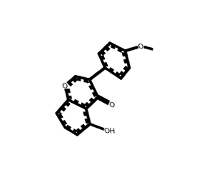 COc1ccc(-c2coc3cccc(O)c3c2=O)cc1